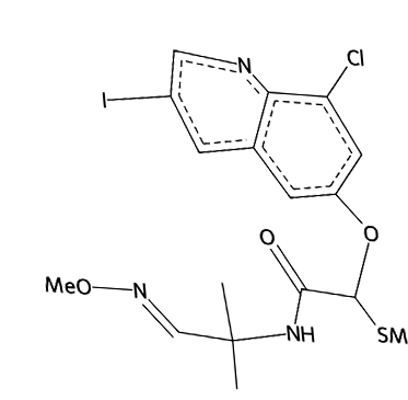 CON=CC(C)(C)NC(=O)C(Oc1cc(Cl)c2ncc(I)cc2c1)SC